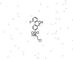 O=S(=O)(NCCCl)c1ccc(-c2c(O)cccc2F)c(F)c1